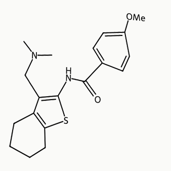 COc1ccc(C(=O)Nc2sc3c(c2CN(C)C)CCCC3)cc1